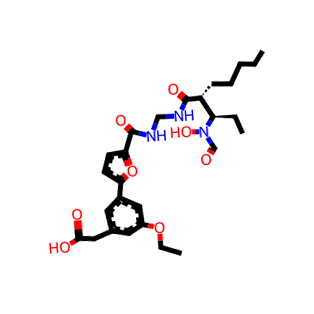 CCCCC[C@@H](C(=O)NCNC(=O)c1ccc(-c2cc(CC(=O)O)cc(OCC)c2)o1)[C@@H](CC)N(O)C=O